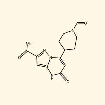 O=CN1CCC(c2cc(=O)[nH]c3cc(C(=O)O)nn23)CC1